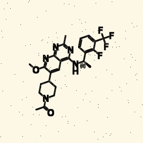 COc1nc2nc(C)nc(N[C@H](C)c3cccc(C(F)(F)F)c3F)c2cc1C1CCN(C(C)=O)CC1